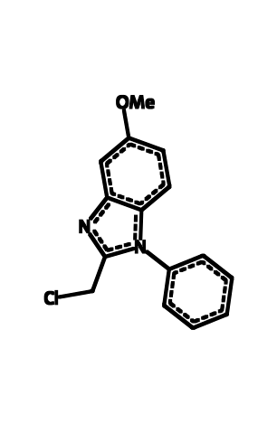 COc1ccc2c(c1)nc(CCl)n2-c1ccccc1